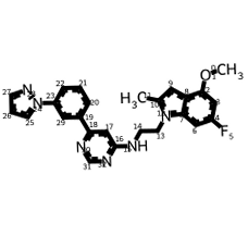 COc1cc(F)cc2c1cc(C)n2CCNc1cc(-c2cccc(-n3cccn3)c2)ncn1